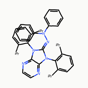 CC(C)c1cccc(C(C)C)c1-n1c(=NN(c2ccccc2)c2ccccc2)n(-c2c(C(C)C)cccc2C(C)C)c2nccnc21